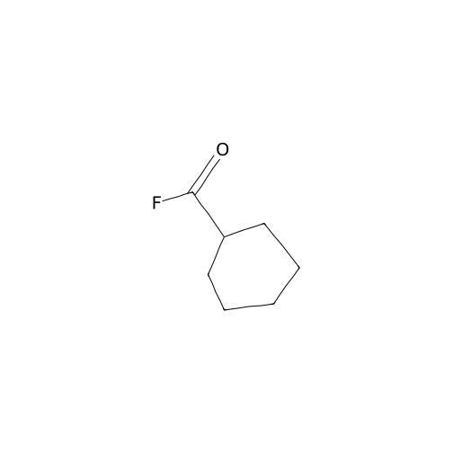 O=C(F)C1CCCCC1